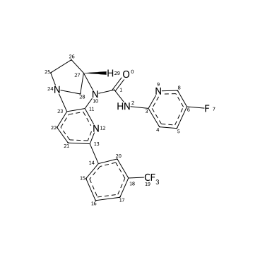 O=C(Nc1ccc(F)cn1)N1c2nc(-c3cccc(C(F)(F)F)c3)ccc2N2CC[C@H]1C2